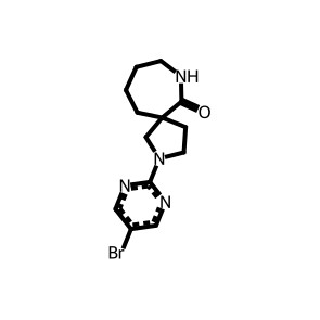 O=C1NCCCCC12CCN(c1ncc(Br)cn1)C2